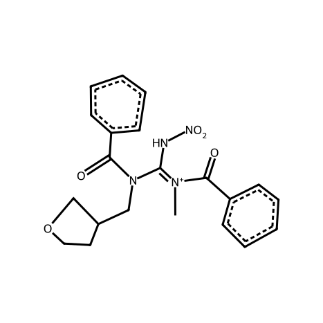 C[N+](C(=O)c1ccccc1)=C(N[N+](=O)[O-])N(CC1CCOC1)C(=O)c1ccccc1